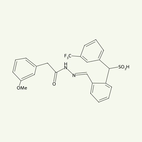 COc1cccc(CC(=O)NN=Cc2ccccc2C(c2cccc(C(F)(F)F)c2)S(=O)(=O)O)c1